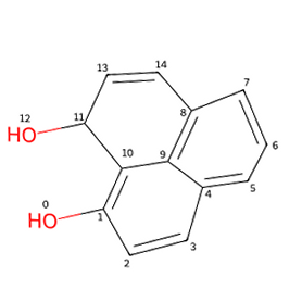 Oc1ccc2cccc3c2c1C(O)C=C3